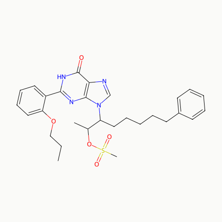 CCCOc1ccccc1-c1nc2c(ncn2C(CCCCCc2ccccc2)C(C)OS(C)(=O)=O)c(=O)[nH]1